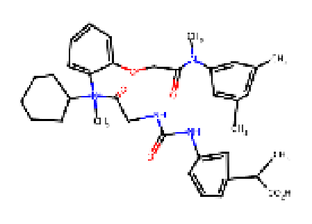 Cc1cc(C)cc(N(C)C(=O)COc2ccccc2[N+](C)(C(=O)CNC(=O)Nc2cccc(C(C)C(=O)O)c2)C2CCCCC2)c1